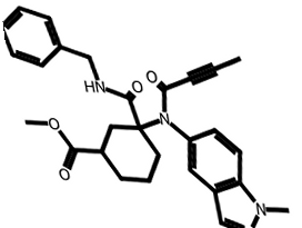 CC#CC(=O)N(c1ccc2c(cnn2C)c1)C1(C(=O)NCc2ccccc2)CCCC(C(=O)OC)C1